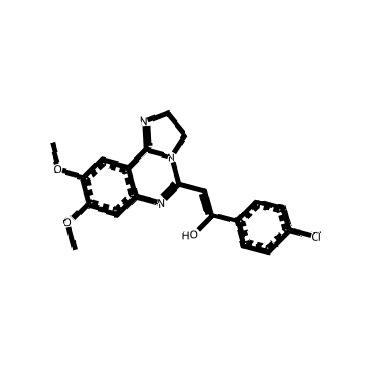 COc1cc2c(cc1OC)C1=NCCN1C(/C=C(\O)c1ccc(Cl)cc1)=N2